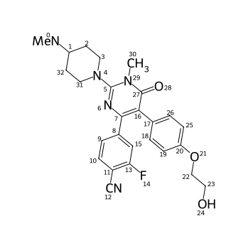 CNC1CCN(c2nc(-c3ccc(C#N)c(F)c3)c(-c3ccc(OCCO)cc3)c(=O)n2C)CC1